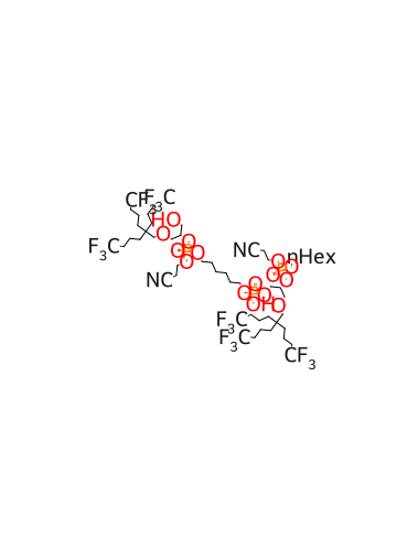 CCCCCCOP(=O)(OCCC#N)OC(COCC(CCCC(F)(F)F)(CCCC(F)(F)F)CCCC(F)(F)F)COP(=O)(O)OCCCCCCOP(=O)(OCCC#N)OC(CO)COCC(CCCC(F)(F)F)(CCCC(F)(F)F)CCCC(F)(F)F